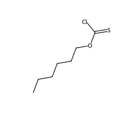 CCCCCCOC(=S)Cl